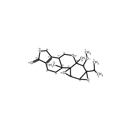 COC1C2(C(C)C)OC2C2OC23C2(C)CCC4=C(COC4=O)C2COC13C